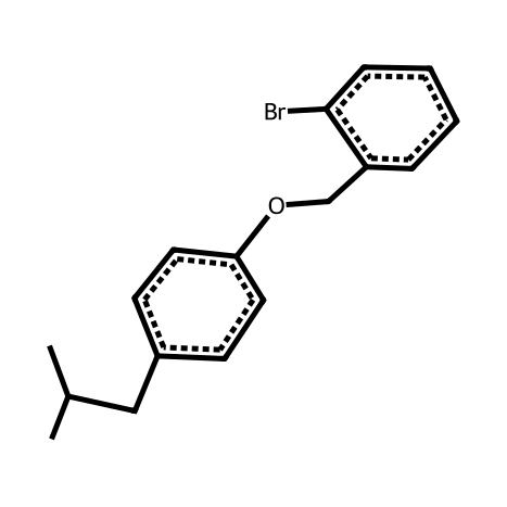 CC(C)Cc1ccc(OCc2ccccc2Br)cc1